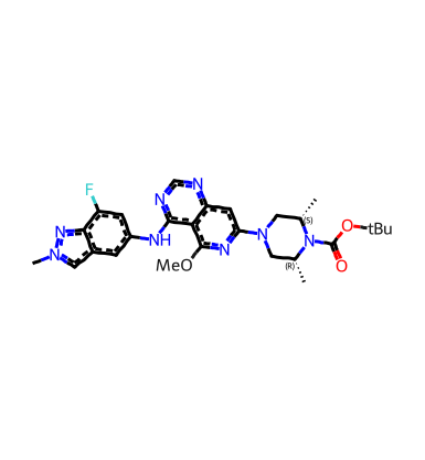 COc1nc(N2C[C@@H](C)N(C(=O)OC(C)(C)C)[C@@H](C)C2)cc2ncnc(Nc3cc(F)c4nn(C)cc4c3)c12